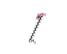 CCCCCCCCCCCCCCCCCC(CO)[N+](=O)[O-]